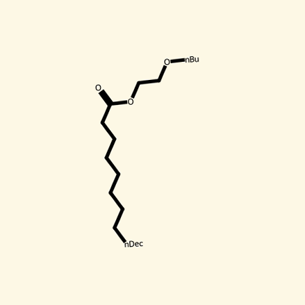 CCCCCCCCCCCCCCCCCC(=O)OCCOCCCC